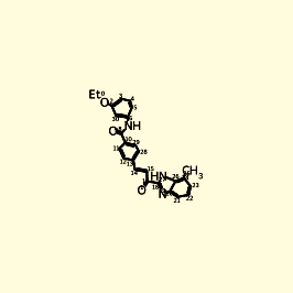 CCOc1cccc(NC(=O)c2ccc(C=CC(=O)c3nc4cccc(C)c4[nH]3)cc2)c1